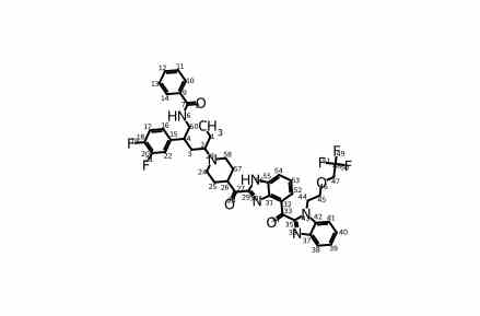 CCC(CC(CNC(=O)c1ccccc1)c1ccc(F)c(F)c1)N1CCC(C(=O)c2nc3c(C(=O)c4nc5ccccc5n4CCOCC(F)(F)F)cccc3[nH]2)CC1